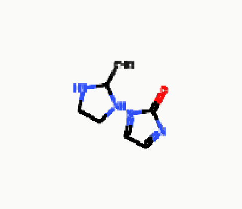 O=C1N=CC=N1.O=CC1NCCN1